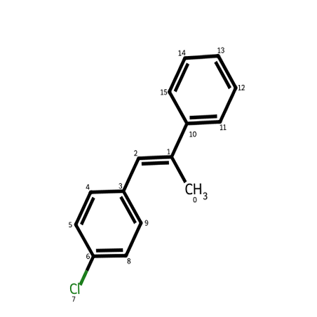 C/C(=C\c1ccc(Cl)cc1)c1ccccc1